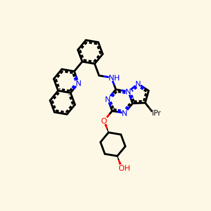 CC(C)c1cnn2c(NCc3ccccc3-c3ccc4ccccc4n3)nc(O[C@H]3CC[C@@H](O)CC3)nc12